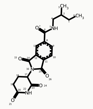 CCC(C)CNC(=O)c1ccc2c(c1)C(=O)N(C1CCC(=O)NC1=O)C2=O